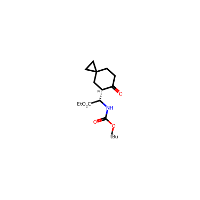 CCOC(=O)C(NC(=O)OC(C)(C)C)[C@@H]1CC2(CCC1=O)CC2